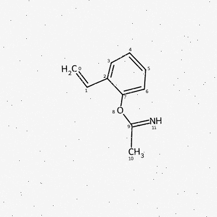 C=Cc1ccccc1OC(C)=N